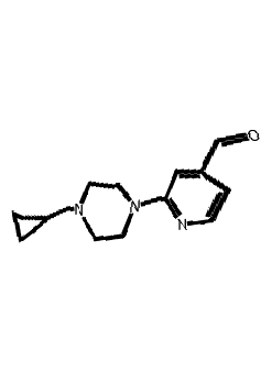 O=Cc1ccnc(N2CCN(C3CC3)CC2)c1